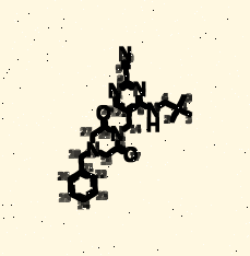 CC(C)(C)CNc1nc(C#N)ncc1CN1C(=O)CN(Cc2ccccc2)CC1=O